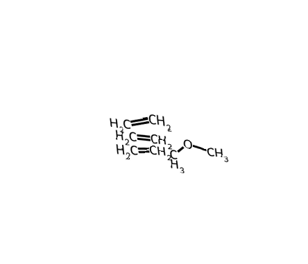 C=C.C=C.C=C.COC